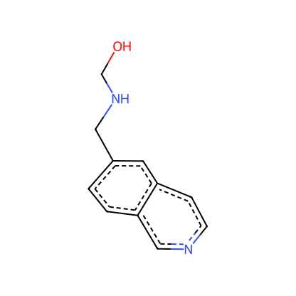 OCNCc1ccc2cnccc2c1